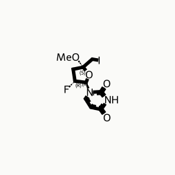 CO[C@@]1(CI)C[C@@H](F)[C@H](n2ccc(=O)[nH]c2=O)O1